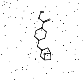 CC(C)(C)OC(=O)N1CCC(CN2CC3CC(C2)O3)CC1